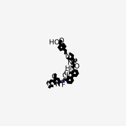 COc1cc(/C(F)=C/c2cccc(-c3cccc(NC(=O)c4nc5c(n4C)CCN(CCC46CCC(C(=O)O)(CC4)C6)C5)c3Cl)c2Cl)ncc1CN(C)C(C)C